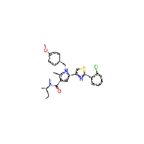 CCC(C)NC(=O)c1cc(-c2csc(-c3ccccc3Cl)n2)n(Cc2ccc(OC)cc2)c1C